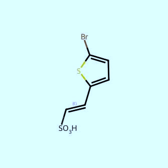 O=S(=O)(O)/C=C/c1ccc(Br)s1